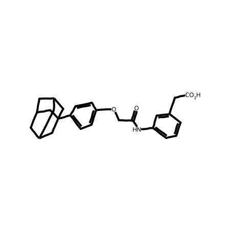 O=C(O)Cc1cccc(NC(=O)COc2ccc(C34CC5CC(CC(C5)C3)C4)cc2)c1